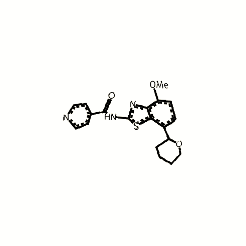 COc1ccc(C2CCCCO2)c2sc(NC(=O)c3ccncc3)nc12